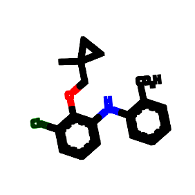 CC1(COc2c(Cl)cccc2Nc2ccccc2C(=O)O)CC1